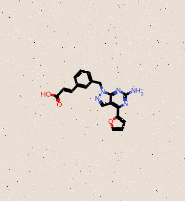 Nc1nc(-c2ccco2)c2cnn(Cc3cccc(/C=C/C(=O)O)c3)c2n1